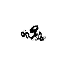 O=C(C(c1ccccc1)n1cnc2[nH]ncc2c1=S)N1CCC(O)(c2ccccc2)CC1